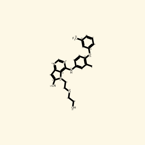 Cc1cc(Nc2ncnc3cc(C#N)n(CCOCCO)c23)ccc1Oc1cccc(C(F)(F)F)c1